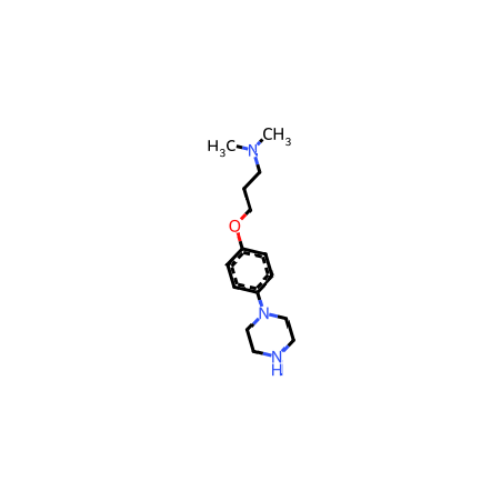 CN(C)CCCOc1ccc(N2CCNCC2)cc1